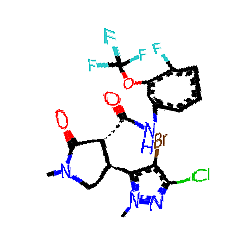 CN1C[C@H](c2c(Br)c(Cl)nn2C)[C@@H](C(=O)Nc2cccc(F)c2OC(F)(F)F)C1=O